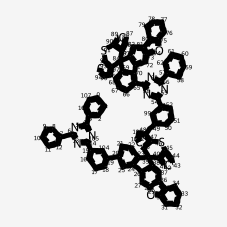 c1ccc(-c2nc(-c3ccccc3)nc(-c3cccc(-c4ccc5c(c4)-c4cc6oc7ccccc7c6cc4C54c5ccccc5Sc5c(-c6cccc(-c7nc(-c8ccccc8)nc(-c8cccc9c8-c8cc%10oc%11ccccc%11c%10cc8C98c9ccccc9Sc9ccccc98)n7)c6)cccc54)c3)n2)cc1